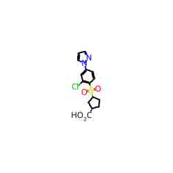 O=C(O)[C@@H]1CC[C@H](S(=O)(=O)c2ccc(-n3cccn3)cc2Cl)C1